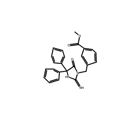 COC(=O)c1cccc(CN2C(=N)NC(c3ccccc3)(c3ccccc3)C2=O)c1